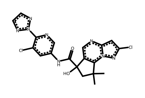 CC1(C)CC(O)(C(=O)Nc2cnc(-n3nccn3)c(Cl)c2)c2cnc3cc(Cl)nn3c21